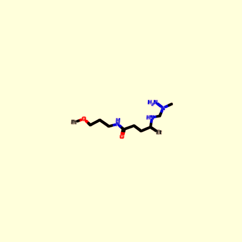 CCOCCCNC(=O)CCC(CC)NCN(C)N